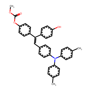 COC(=O)Oc1ccc(C(=Cc2ccc(N(c3ccc(C)cc3)c3ccc(C)cc3)cc2)c2ccc(O)cc2)cc1